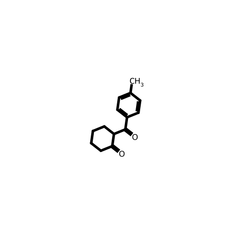 Cc1ccc(C(=O)C2CCCCC2=O)cc1